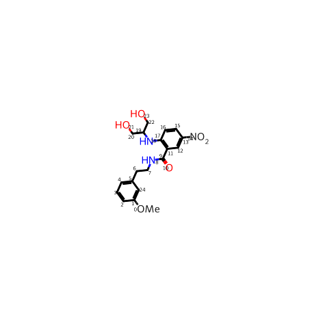 COc1cccc(CCNC(=O)c2cc([N+](=O)[O-])ccc2NC(CO)CO)c1